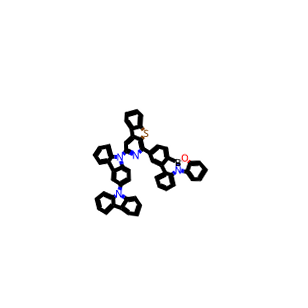 c1ccc2c(c1)OB1c3ccc(-c4nc(-n5c6ccccc6c6cc(-n7c8ccccc8c8ccccc87)ccc65)cc5c4sc4ccccc45)cc3-c3ccccc3N12